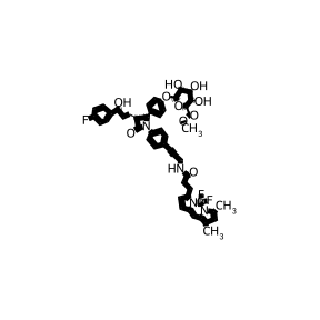 COC(=O)[C@H]1O[C@@H](Oc2ccc([C@@H]3[C@@H](CC[C@H](O)c4ccc(F)cc4)C(=O)N3c3ccc(C#CCNC(=O)CCC4=[N+]5C(=Cc6c(C)cc(C)n6[B-]5(F)F)C=C4)cc3)cc2)[C@H](O)[C@@H](O)[C@@H]1O